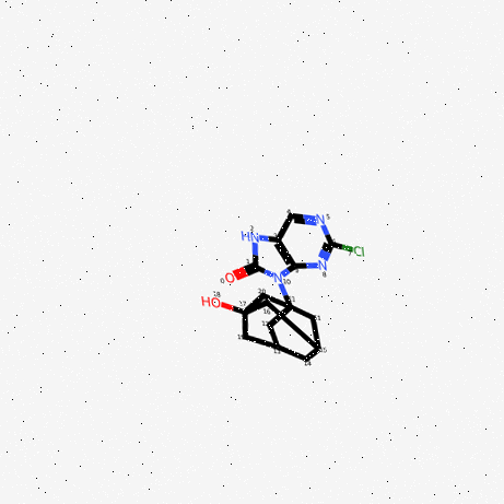 O=c1[nH]c2cnc(Cl)nc2n1C12CC3CC(CC(O)(C3)C1)C2